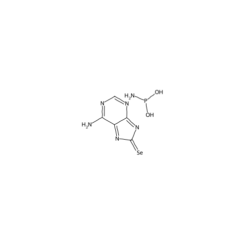 NP(O)O.Nc1ncnc2c1=NC(=[Se])N=2